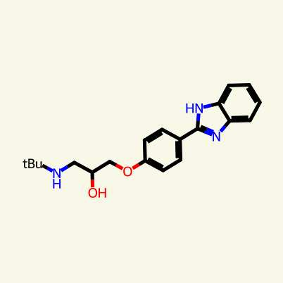 CC(C)(C)NCC(O)COc1ccc(-c2nc3ccccc3[nH]2)cc1